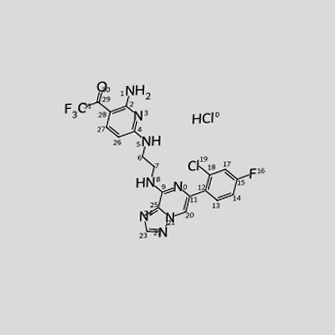 Cl.Nc1nc(NCCNc2nc(-c3ccc(F)cc3Cl)cn3ncnc23)ccc1C(=O)C(F)(F)F